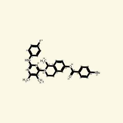 Cc1nc(Nc2ccc(F)cc2)nc(N2CCc3cc(OC(=O)c4ccc(C(C)(C)C)cc4)ccc3C2C)c1C